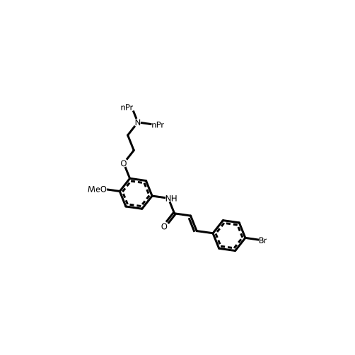 CCCN(CCC)CCOc1cc(NC(=O)C=Cc2ccc(Br)cc2)ccc1OC